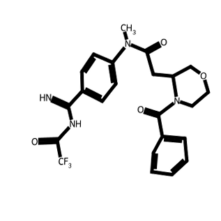 CN(C(=O)CC1COCCN1C(=O)c1ccccc1)c1ccc(C(=N)NC(=O)C(F)(F)F)cc1